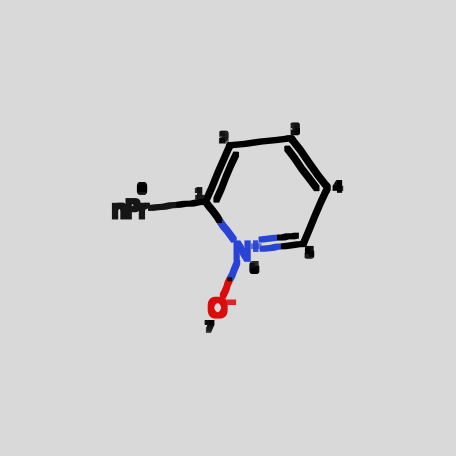 CCCc1cccc[n+]1[O-]